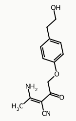 CC(N)=C(C#N)C(=O)COc1ccc(CCO)cc1